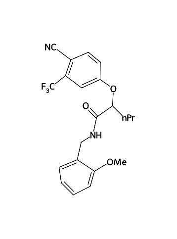 CCCC(Oc1ccc(C#N)c(C(F)(F)F)c1)C(=O)NCc1ccccc1OC